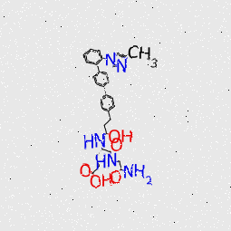 Cc1cn(-c2ccccc2-c2ccc(-c3ccc(CCC(O)N[C@@H](CCC(=O)O)C(=O)NCC(N)=O)cc3)cc2)cn1